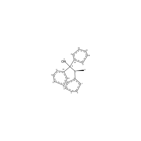 C[C@@H](c1ccccc1)C(N=O)(c1ccccc1)c1ccccc1